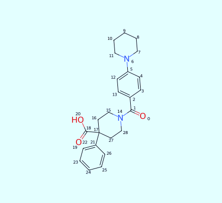 O=C(c1ccc(N2CCCCC2)cc1)N1CCC(C(=O)O)(c2ccccc2)CC1